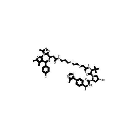 Cc1ncsc1-c1ccc([C@H](C)NC(=O)[C@@H]2C[C@@H](O)CN2C(=O)[C@@H](NC(=O)COCCOCCCNC(=O)CC2N=C(c3ccc(Cl)cc3)c3c(sc(C)c3C)-n3c(C)nnc32)C(C)(C)C)cc1